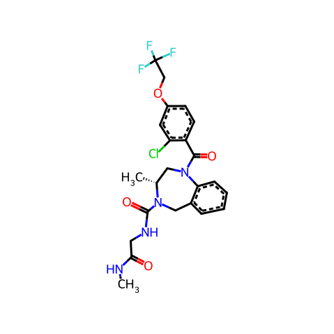 CNC(=O)CNC(=O)N1Cc2ccccc2N(C(=O)c2ccc(OCC(F)(F)F)cc2Cl)C[C@H]1C